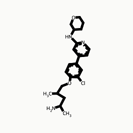 CC(N)CC(C)COc1ccc(-c2ccnc(NC3CCCOC3)c2)cc1Cl